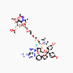 COc1ccc(C(OC(C(=O)c2ccccc2)[C@H]2O[C@@H](n3cnc4c(N)ncnc43)[C@H](F)[C@@H]2OP(CCOCCOCCOCCO[C@@H]2O[C@H](COC(C)=O)[C@H](OC(C)=O)[C@H](OC(C)=O)[C@H]2NC(C)=O)N(C(C)C)C(C)C)(c2ccccc2)c2ccc(OC)cc2)cc1